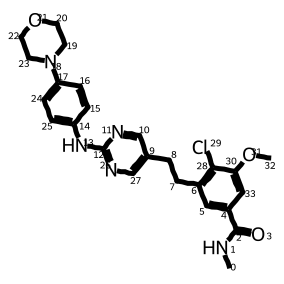 CNC(=O)c1cc(CCc2cnc(Nc3ccc(N4CCOCC4)cc3)nc2)c(Cl)c(OC)c1